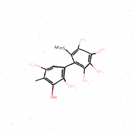 Bc1cc(-c2c(B)c(B)c(B)c(B)c2SC)c(B)c(O)c1C